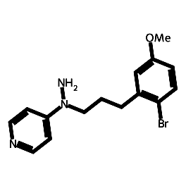 COc1ccc(Br)c(CCCN(N)c2ccncc2)c1